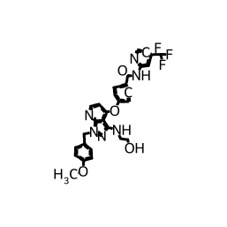 COc1ccc(Cn2nc(NCCO)c3c(Oc4ccc(C(=O)Nc5cc(C(F)(F)F)ccn5)cc4)ccnc32)cc1